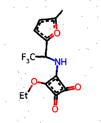 CCOc1c(NC(c2ccc(C)o2)C(F)(F)F)c(=O)c1=O